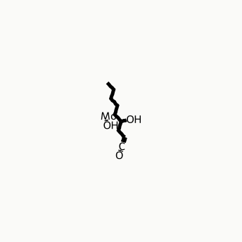 CCCCCC(O)CC=C=O.[OH][Mo]